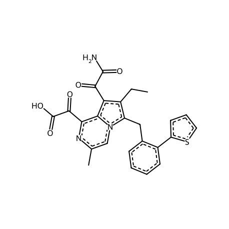 CCc1c(C(=O)C(N)=O)c2c(C(=O)C(=O)O)nc(C)cn2c1Cc1ccccc1-c1cccs1